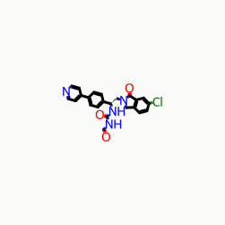 O=CNC(=O)N[C@@H](CN1Cc2ccc(Cl)cc2C1=O)c1ccc(-c2ccncc2)cc1